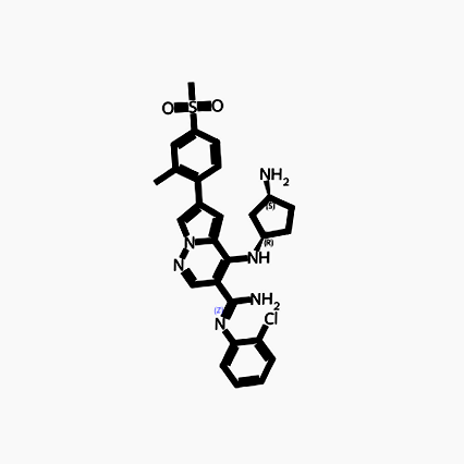 Cc1cc(S(C)(=O)=O)ccc1-c1cc2c(N[C@@H]3CC[C@H](N)C3)c(/C(N)=N/c3ccccc3Cl)cnn2c1